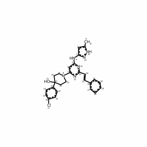 Cc1cc(Nc2cc(N3CCC(O)(c4ccc(Cl)cc4)CC3)nc(C=Cc3ccccc3)n2)n[nH]1